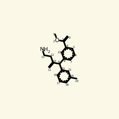 C=C(OC)c1cccc(C(C(=C)CCN)c2cccc(C)c2)c1